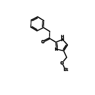 CCOCc1c[nH]c(C(=O)Cc2ccccc2)n1